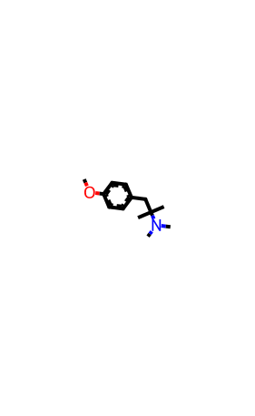 COc1ccc(CC(C)(C)N(C)C)cc1